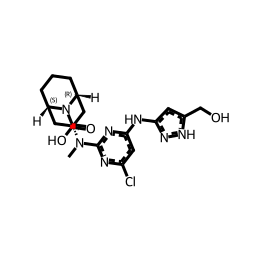 CN(c1nc(Cl)cc(Nc2cc(CO)[nH]n2)n1)[C@H]1C[C@H]2CCC[C@@H](C1)N2C(=O)O